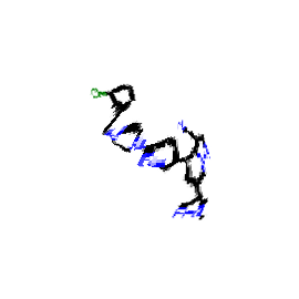 Cn1cc(-c2cc(-c3ccc(N4CCN(Cc5cccc(Cl)c5)CC4)nc3)c3c(C#N)cnn3c2)cn1